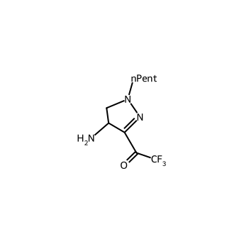 CCCCCN1CC(N)C(C(=O)C(F)(F)F)=N1